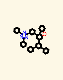 c1ccc(-c2cc(-c3ccccc3)cc(-c3cc(-c4cccc(-c5nc(-c6ccccc6)nc(-c6ccccc6)n5)c4)c4c(c3)oc3ccccc34)c2)cc1